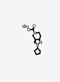 CC(C)(C)OC(=O)N1CCc2nn(C3CCCC3)cc2C1